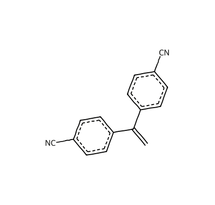 C=C(c1ccc(C#N)cc1)c1ccc(C#N)cc1